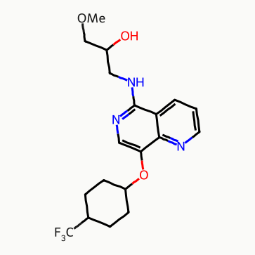 COCC(O)CNc1ncc(OC2CCC(C(F)(F)F)CC2)c2ncccc12